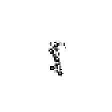 CC(C)(C)CC(=O)Nc1cscc1NC(=O)c1ccc(CN(CCCN2CCCC2)C(=O)NC2CCCC2)cn1